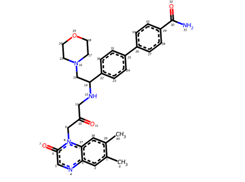 Cc1cc2ncc(=O)n(CC(=O)CNC(CN3CCOCC3)c3ccc(-c4ccc(C(N)=O)cc4)cc3)c2cc1C